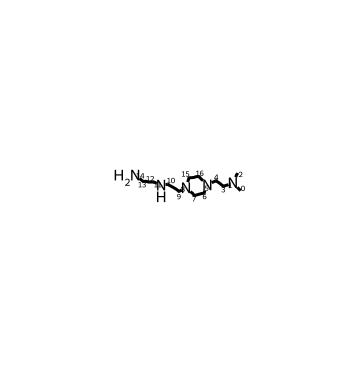 CN(C)CCN1CCN(CCNCCN)CC1